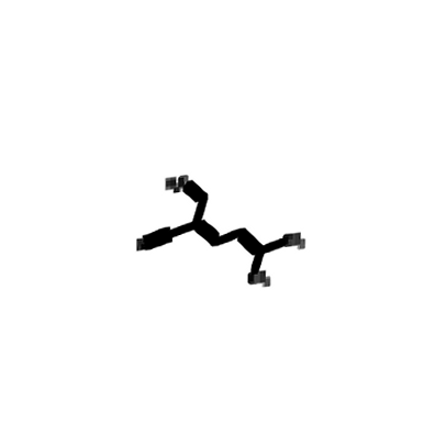 C=C/C(C#N)=C\C=C(C)C